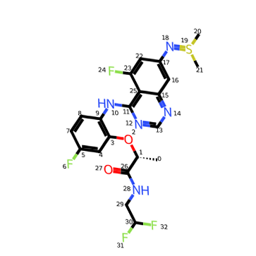 C[C@@H](Oc1cc(F)ccc1Nc1ncnc2cc(N=S(C)C)cc(F)c12)C(=O)NCC(F)F